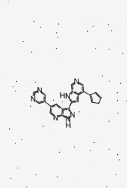 C1=CC(c2cncc3[nH]c(-c4n[nH]c5ncc(-c6cncnc6)cc45)cc23)=CC1